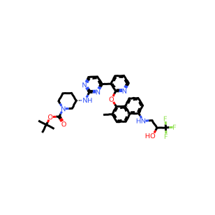 Cc1ccc2c(NCC(O)C(F)(F)F)cccc2c1Oc1ncccc1-c1ccnc(N[C@H]2CCCN(C(=O)OC(C)(C)C)C2)n1